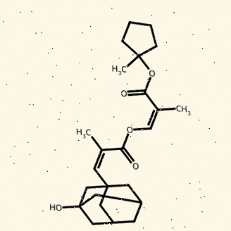 CC(=CC12CC3CC(CC(O)(C3)C1)C2)C(=O)OC=C(C)C(=O)OC1(C)CCCC1